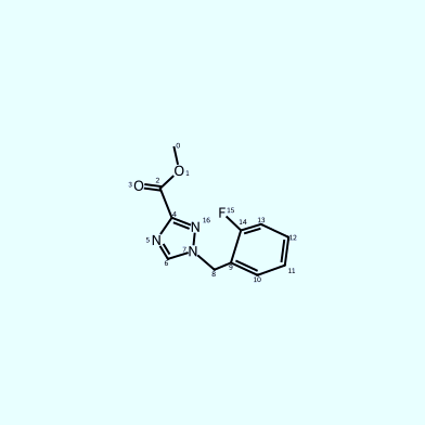 COC(=O)c1ncn(Cc2ccccc2F)n1